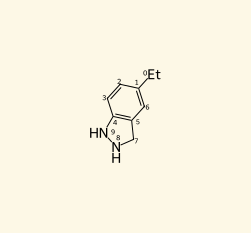 CCc1ccc2c(c1)CNN2